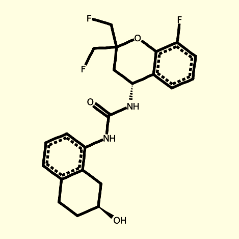 O=C(Nc1cccc2c1C[C@@H](O)CC2)N[C@@H]1CC(CF)(CF)Oc2c(F)cccc21